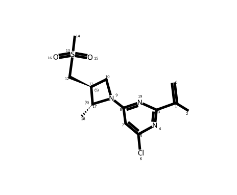 C=C(C)c1nc(Cl)cc(N2C[C@H](CS(C)(=O)=O)[C@H]2C)n1